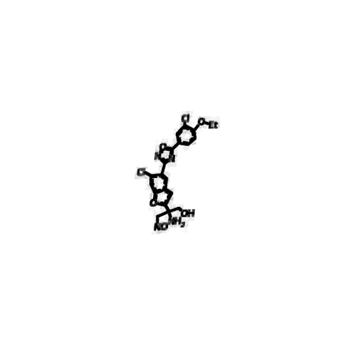 CCOc1ccc(-c2nc(-c3cc4cc(C(N)(CO)CN=O)oc4cc3Cl)no2)cc1Cl